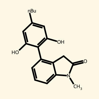 CCCCc1cc(O)c(-c2cccc3c2CC(=O)N3C)c(O)c1